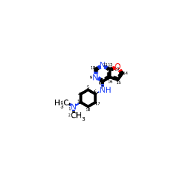 CN(C)[C@H]1CC[C@H](Nc2ncnc3occc23)CC1